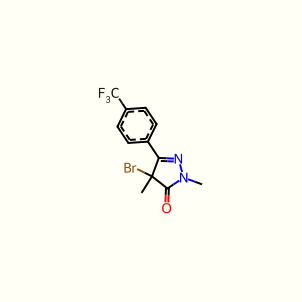 CN1N=C(c2ccc(C(F)(F)F)cc2)C(C)(Br)C1=O